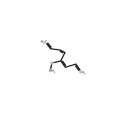 C=C/C=C\C(=C/C=C)ON